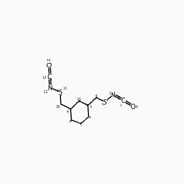 O=C=NSCC1CCCC(CSN=C=O)C1